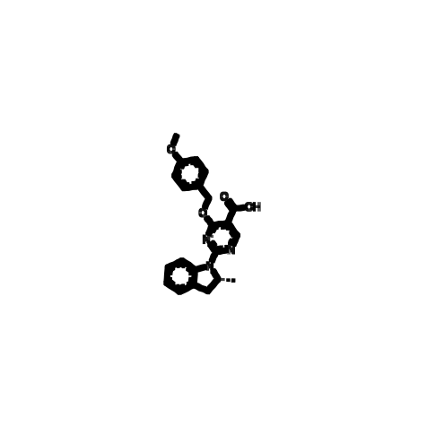 COc1ccc(COc2nc(N3c4ccccc4C[C@H]3C)ncc2C(=O)O)cc1